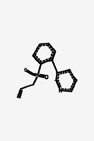 C=CCS(=O)(=O)c1ccccc1-c1[c]nccc1